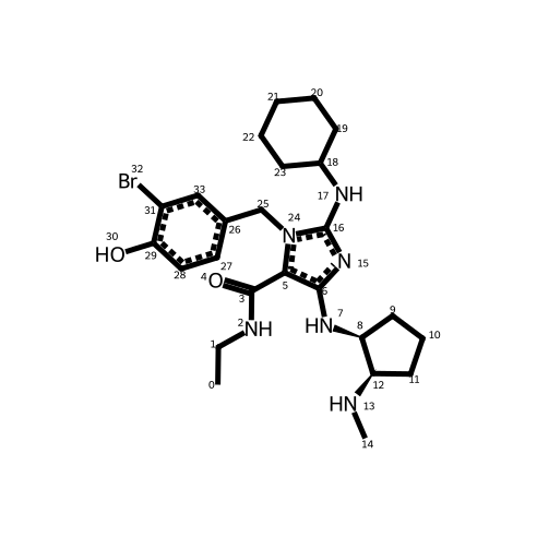 CCNC(=O)c1c(N[C@H]2CCC[C@H]2NC)nc(NC2CCCCC2)n1Cc1ccc(O)c(Br)c1